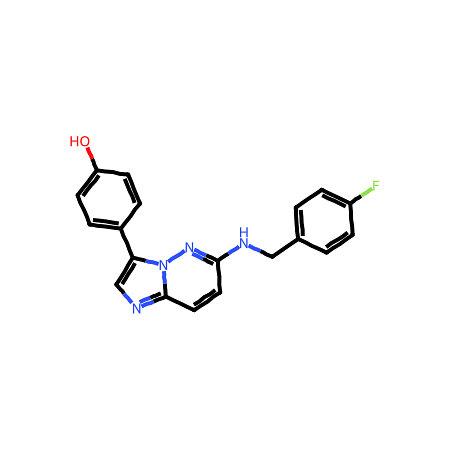 Oc1ccc(-c2cnc3ccc(NCc4ccc(F)cc4)nn23)cc1